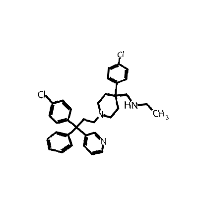 CCNCC1(c2ccc(Cl)cc2)CCN(CCC(c2ccccc2)(c2ccc(Cl)cc2)c2cccnc2)CC1